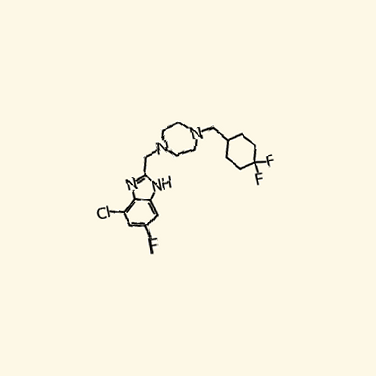 Fc1cc(Cl)c2nc(CN3CCN(CC4CCC(F)(F)CC4)CC3)[nH]c2c1